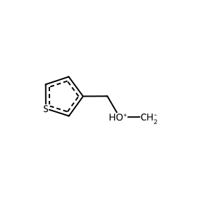 [CH2-][OH+]Cc1ccsc1